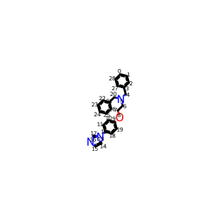 c1ccc(CN(CCOc2ccc(-n3ccnc3)cc2)Cc2ccccc2)cc1